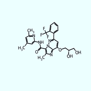 Cc1cc(C)nc(NC(=O)c2c(C)nc3c(OC[C@H](O)CO)cc(-c4ccccc4C(F)(F)F)nn23)c1